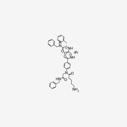 CC(C)[C@H](NC(=O)c1ccc(N(CC(=O)NCc2ccccc2)C(=O)CCCCN)cc1)C(=O)N[C@@H](Cc1ccccc1)C(=O)NCc1ccccc1